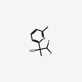 CC(O)(c1cccc(I)n1)C(F)F